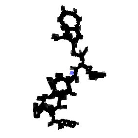 CN(Cc1cc2ccccc2n1C)C(=O)/C=C/c1cnc2c(c1)CN(CC(=O)[O-])C(=O)N2.[Na+]